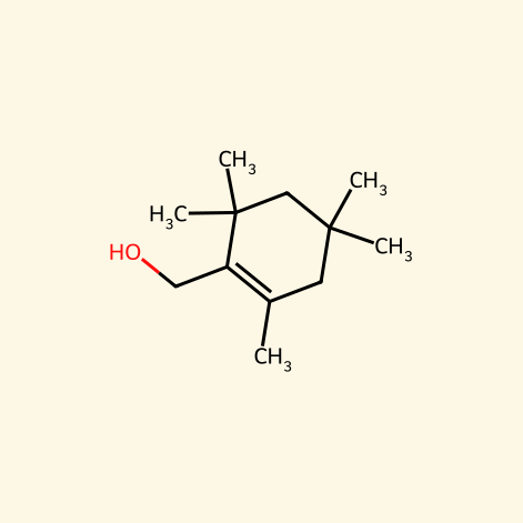 CC1=C(CO)C(C)(C)CC(C)(C)C1